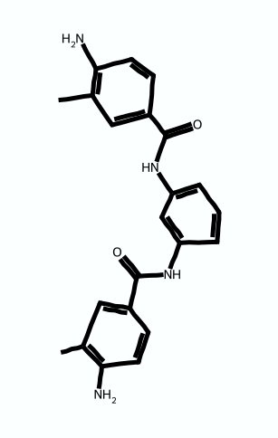 Cc1cc(C(=O)Nc2cccc(NC(=O)c3ccc(N)c(C)c3)c2)ccc1N